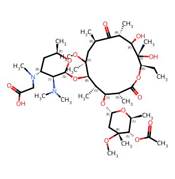 CC[C@H]1OC(=O)[C@H](C)[C@@H](O[C@H]2C[C@@](C)(OC)[C@@H](OC(C)=O)[C@H](C)O2)[C@H](C)[C@@H](O[C@@H]2O[C@H](C)C[C@@H](N(C)CC(=O)O)[C@@H]2N(C)C)[C@@](C)(OC)C[C@@H](C)C(=O)[C@H](C)[C@@H](O)[C@]1(C)O